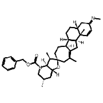 CN=C1C=C[C@@]2(C)[C@H](CC[C@H]3[C@@H]4CC[C@@]5(CC(C)=C4C[C@@H]32)O[C@@H]2C[C@H](C)CN(C(=O)OCc3ccccc3)[C@H]2[C@H]5C)C1